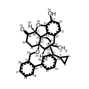 C[N+]1(CC2CC2)CC[C@]23c4c5ccc(O)c4O[C@H]2C(=O)CC[C@@]3(OCc2ccccc2-c2ccccc2)[C@H]1C5